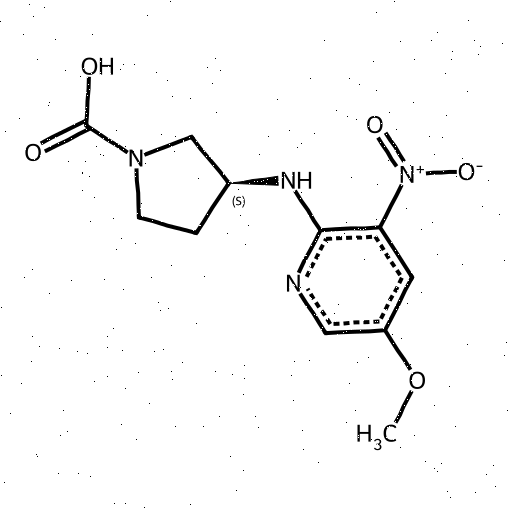 COc1cnc(N[C@H]2CCN(C(=O)O)C2)c([N+](=O)[O-])c1